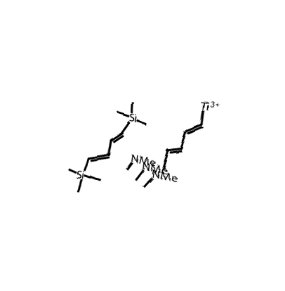 CC=CC=[CH][Ti+3].C[N-]C.C[N-]C.C[N-]C.C[Si](C)(C)C=CC=C[Si](C)(C)C